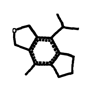 Cc1c2c(c(C(C)C)c3c1COC3)CCC2